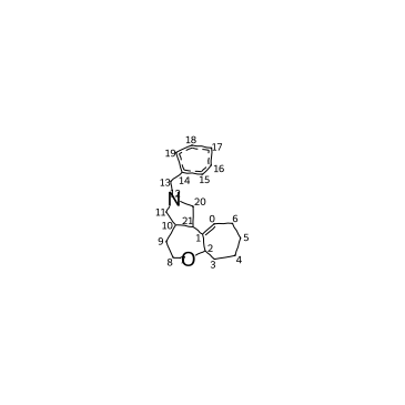 C1=C2C(CCCC1)OCCC1CN(Cc3ccccc3)CC21